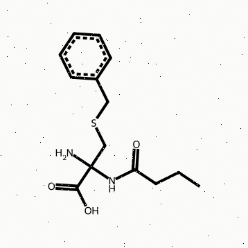 CCCC(=O)NC(N)(CSCc1ccccc1)C(=O)O